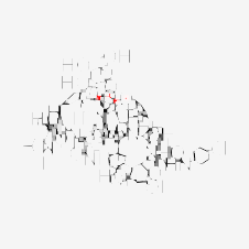 CN[C@H](CC(C)C)C(=O)N[C@H]1C(=O)N[C@@H](CC(N)=O)C(=O)NC2C(=O)N[C@H]3C(=O)N[C@H](C(=O)NC(C(=O)NCC(=O)Nc4ccc(Cl)cc4)c4cc(O)cc(O)c4-c4cc3ccc4O)[C@H](O)c3ccc(c(Cl)c3)Oc3cc2cc(c3O[C@@H]2O[C@H](CO)[C@@H](O)[C@H](O)[C@H]2OC2C[C@](C)(N)[C@H](O)[C@H](C)O2)Oc2ccc(cc2Cl)[C@H]1O